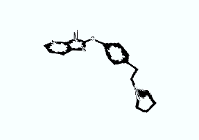 c1cnc2nc(Oc3ccc(CCN4CCCC4)cc3)sc2c1